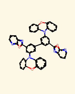 c1ccc2c(c1)Oc1ccccc1N2c1cc(-c2cc(-c3nc4cccnc4o3)cc(N3c4ccccc4Oc4ccccc43)c2)cc(-c2nc3cccnc3o2)c1